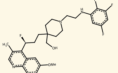 COc1ccc2ncc(C)c([C@@H](F)CCC3(CO)CCN(CCNc4cc(F)cc(F)c4F)CC3)c2c1